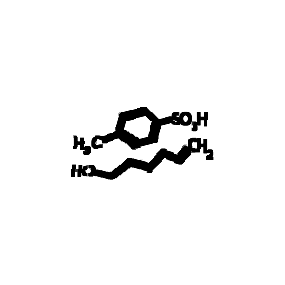 C=CCCCCO.Cc1ccc(S(=O)(=O)O)cc1